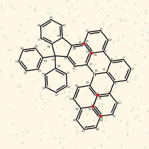 c1ccc(-c2cccc(-c3ccccc3)c2N(c2ccc3c(c2)C(c2ccccc2)(c2ccccc2)c2ccccc2-3)c2ccc3ccccc3c2)cc1